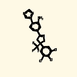 Nc1cc(C2=NS[C@@](c3cc(Cl)c(Cl)c(Cl)c3)(C(F)(F)F)C2)ccc1-n1cncn1